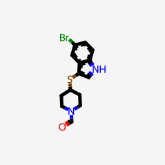 O=CN1CCC(Sc2c[nH]c3ccc(Br)cc23)CC1